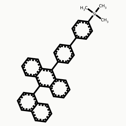 C[Si](C)(C)c1ccc(-c2ccc(-c3c4ccccc4c(-c4cccc5ccccc45)c4ccccc34)cc2)cc1